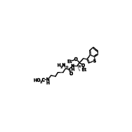 CCOC(Cc1csc2ccccc12)(OCC)[C@H](C)NC(=O)[C@@H](N)CCCCNC(=O)O